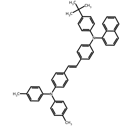 Cc1ccc(N(c2ccc(C)cc2)c2ccc(/C=C/c3ccc(N(c4ccc(C(C)(C)C)cc4)c4cccc5ccccc45)cc3)cc2)cc1